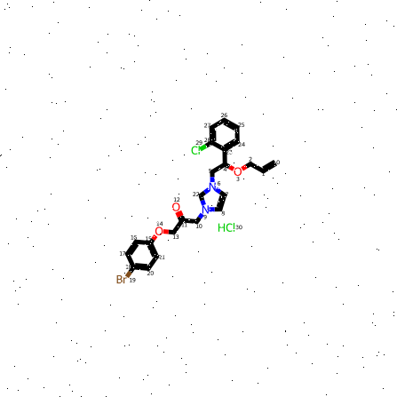 C=CCOC(CN1C=CN(CC(=O)COc2ccc(Br)cc2)C1)c1ccccc1Cl.Cl